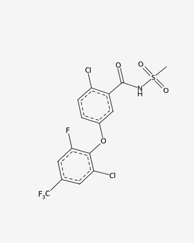 CS(=O)(=O)NC(=O)c1cc(Oc2c(F)cc(C(F)(F)F)cc2Cl)ccc1Cl